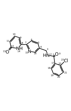 O=C(NCc1ccc(-c2cccc(=O)[nH]2)nc1)c1ccccc1Cl